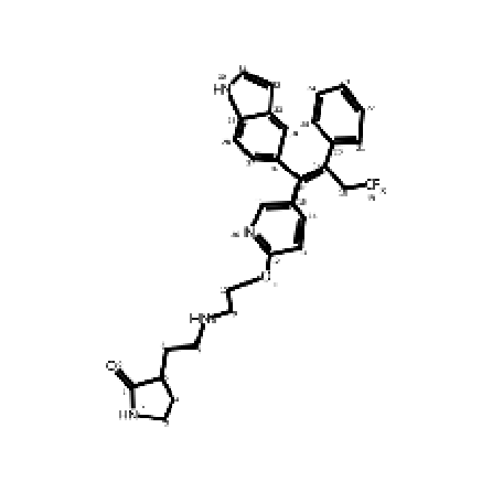 O=C1NCCC1CCNCCOc1ccc(C(=C(CC(F)(F)F)c2ccccc2)c2ccc3[nH]ccc3c2)cn1